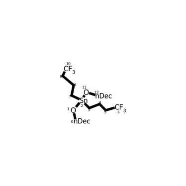 CCCCCCCCCC[O][Sn]([CH2]CCC(F)(F)F)([CH2]CCC(F)(F)F)[O]CCCCCCCCCC